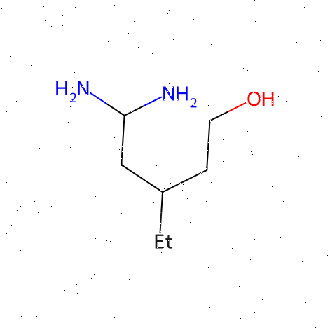 CCC(CCO)CC(N)N